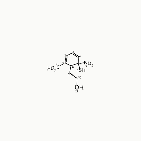 O=C(O)C1=CC=CC(S)([N+](=O)[O-])C1CCO